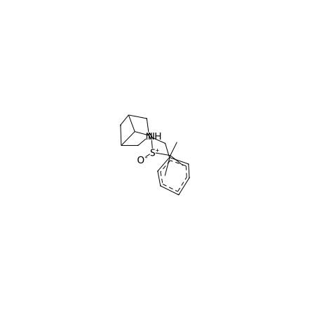 CC(C)(C)[S+]([O-])NC1C2CC1CN(Cc1ccccc1)C2